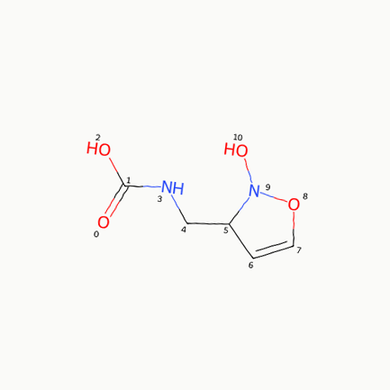 O=C(O)NCC1C=CON1O